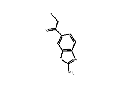 CCC(=O)c1ccc2nc(N)sc2c1